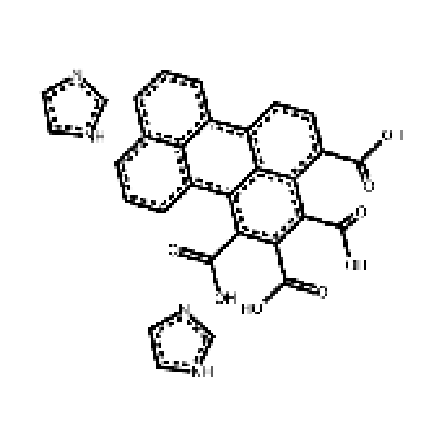 O=C(O)c1c(C(=O)O)c2c(C(=O)O)ccc3c4cccc5cccc(c(c1C(=O)O)c23)c54.c1c[nH]cn1.c1c[nH]cn1